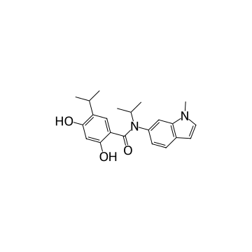 CC(C)c1cc(C(=O)N(c2ccc3ccn(C)c3c2)C(C)C)c(O)cc1O